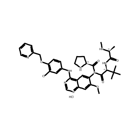 CN[C@@H](C)C(=O)N[C@H](C(=O)N(C(=O)[C@@H]1CCCN1)c1cc2c(Nc3ccc(OCc4ccccn4)c(Cl)c3)ncnc2cc1OC)C(C)(C)C.Cl